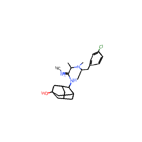 CC(Cc1ccc(Cl)cc1)N(C)C(C)/C(=N\C#N)NC1C2CC3CC1CC(O)(C3)C2